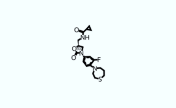 O=C(NC[C@H]1CN(c2ccc(N3CCCSCC3)c(F)c2)C(=O)O1)C1CC1